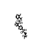 C[C@@H](OC(=O)Nc1c(-c2ncc(NC(=O)[C@@H]3C[C@H]3C(F)(F)F)cn2)cnn1C)c1cccnc1F